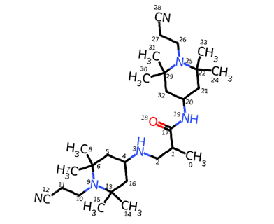 CC(CNC1CC(C)(C)N(CCC#N)C(C)(C)C1)C(=O)NC1CC(C)(C)N(CCC#N)C(C)(C)C1